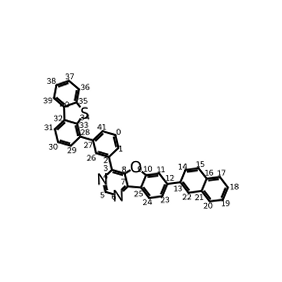 c1cc(-c2ncnc3c2oc2cc(-c4ccc5ccccc5c4)ccc23)cc(-c2cccc3c2sc2ccccc23)c1